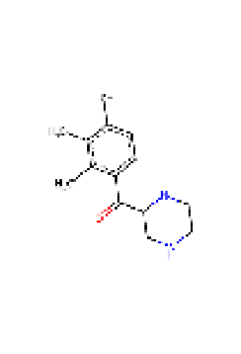 Cc1ccc(C(=O)C2CNCC[N]2)c(C)c1C